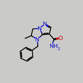 CC1Cn2ncc(C(N)=O)c2N1Cc1ccccc1